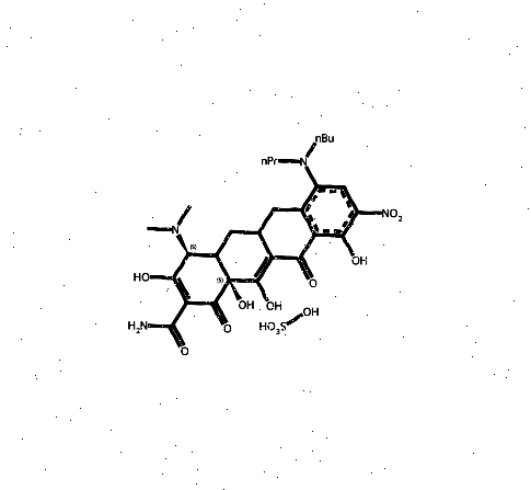 CCCCN(CCC)c1cc([N+](=O)[O-])c(O)c2c1CC1CC3[C@H](N(C)C)C(O)=C(C(N)=O)C(=O)[C@@]3(O)C(O)=C1C2=O.O=S(=O)(O)O